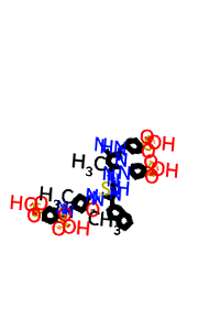 COc1cc(/N=N/c2cc(S(=O)(=O)O)ccc2S(=O)(=O)O)c(C)cc1/N=N/c1sc(/N=N/c2c(Nc3ccc(S(=O)(=O)O)cc3)nc(Nc3ccc(S(=O)(=O)O)cc3)c(C#N)c2C)nc1-c1ccc2ccccc2c1